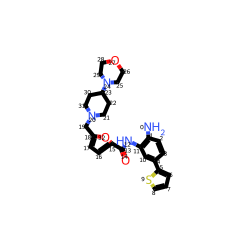 Nc1ccc(-c2cccs2)cc1NC(=O)c1ccc(CN2CCC(N3CCOCC3)CC2)o1